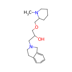 CN1CCCCC1COCC(O)CN1CCc2ccccc2C1